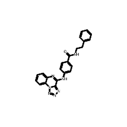 O=C(NCCc1ccccc1)c1ccc(Nc2nc3ccccc3n3nnnc23)cc1